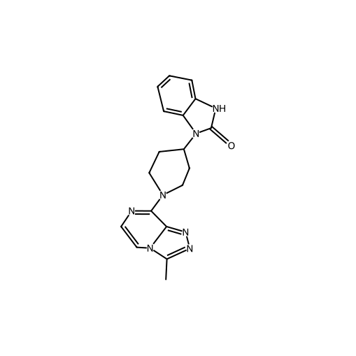 Cc1nnc2c(N3CCC(n4c(=O)[nH]c5ccccc54)CC3)nccn12